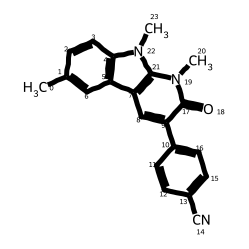 Cc1ccc2c(c1)c1cc(-c3ccc(C#N)cc3)c(=O)n(C)c1n2C